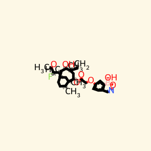 C=C[C@]1(C)C[C@@H](OC(=O)COc2ccc3c(c2)B(O)ON=C3)[C@@]2(C)C[C@](C[C@H](F)C(C)=O)(CC[C@H]2C)[C@@H](C)[C@@H]1O